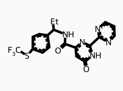 CCC(NC(=O)c1cc(=O)[nH]c(-c2ncccn2)n1)c1ccc(SC(F)(F)F)cc1